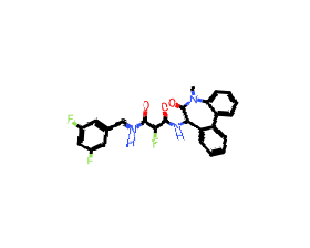 CN1C(=O)C(NC(=O)C(F)C(=O)NCc2cc(F)cc(F)c2)c2ccccc2-c2ccccc21